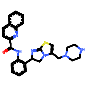 O=C(Nc1ccccc1C1CN2C(CN3CCNCC3)=CSC2=N1)c1ccc2ccccc2n1